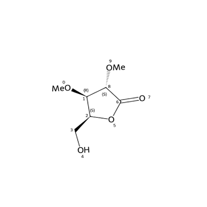 CO[C@@H]1[C@H](CO)OC(=O)[C@H]1OC